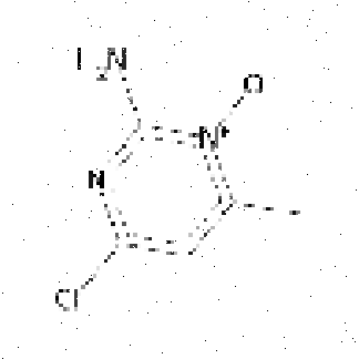 Cc1cc(Cl)nc(N)[n+]1[O-]